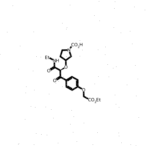 CCNC(=O)[C@@H](OC1CCN(C(=O)O)C1)C(=O)c1ccc(OCC(=O)OCC)cc1